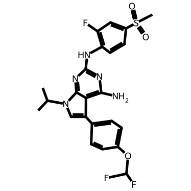 CC(C)n1cc(-c2ccc(OC(F)F)cc2)c2c(N)nc(Nc3ccc(S(C)(=O)=O)cc3F)nc21